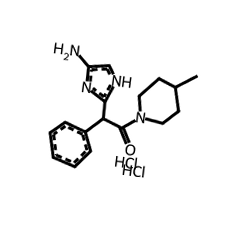 CC1CCN(C(=O)C(c2ccccc2)c2nc(N)c[nH]2)CC1.Cl.Cl